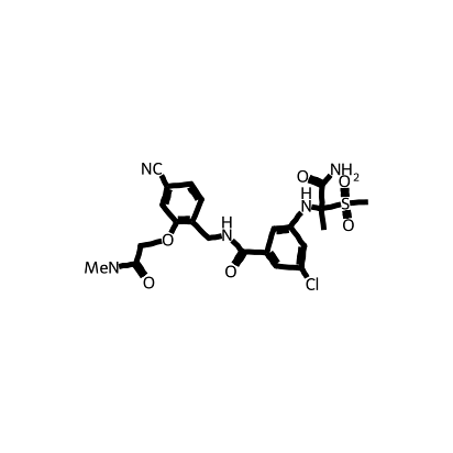 CNC(=O)COc1cc(C#N)ccc1CNC(=O)c1cc(Cl)cc(NC(C)(C(N)=O)S(C)(=O)=O)c1